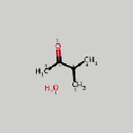 CC(=O)C(C)C.O